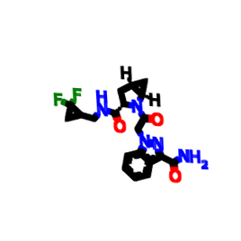 NC(=O)c1nn(CC(=O)N2[C@@H]3C[C@@H]3C[C@H]2C(=O)NCC2CC2(F)F)c2ccccc12